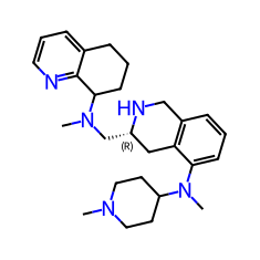 CN1CCC(N(C)c2cccc3c2C[C@H](CN(C)C2CCCc4cccnc42)NC3)CC1